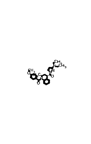 CCN(CC)c1ccn(C(=O)[C@H]2C[C@H](C)N(C(=O)c3ccc(OC)cc3)c3ccccc32)n1